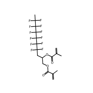 C=C(C)C(=O)OCC(CC(F)(F)C(F)(F)C(F)(F)C(F)(F)C(F)(F)C(C)(F)F)OC(=O)C(=C)C